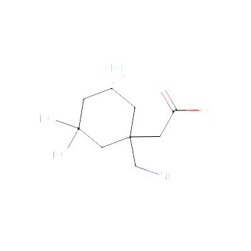 CC1(C)CCCC(CN)(CC(=O)O)C1.Cl